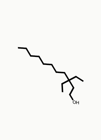 CCCCCCCCC(CC)(CC)CCO